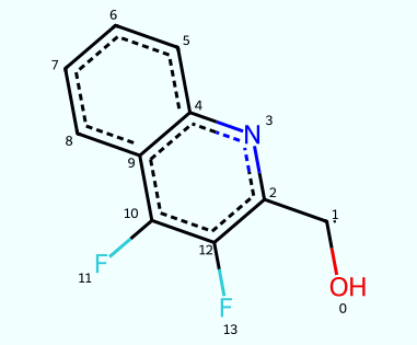 O[CH]c1nc2ccccc2c(F)c1F